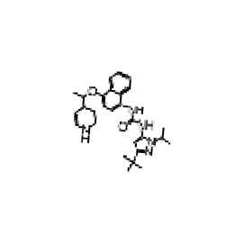 CC(Oc1ccc(NC(=O)Nc2cc(C(C)(C)C)nn2C(C)C)c2ccccc12)C1C=CNCC1